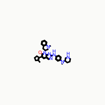 CC1=C(c2cc3cnc(Nc4ccc(N(C)C5CCCNC5)cc4)nc3n(C3Cc4ccccc4N(C)C3)c2=O)CCC1